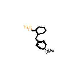 COc1ccc(CC2CCCCC2CP)cc1